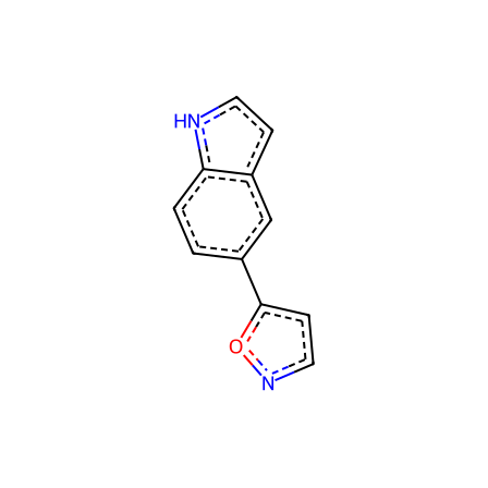 c1cc(-c2ccc3[nH]ccc3c2)on1